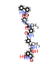 C[C@@H](Cc1ccc(CNC(=O)c2cccc(N(C)C(=O)CCN3CCC(OC(=O)Nc4ccccc4-c4ccccc4)CC3)c2)cc1)NC[C@H](O)c1ccc(O)c2[nH]c(=O)ccc12